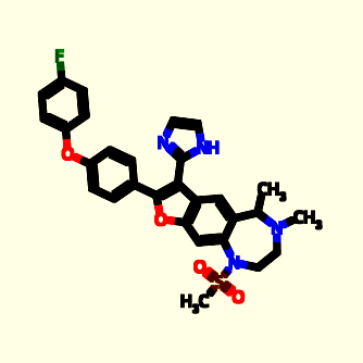 CC1c2cc3c(-c4ncc[nH]4)c(-c4ccc(Oc5ccc(F)cc5)cc4)oc3cc2N(S(C)(=O)=O)CCN1C